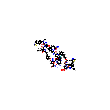 Cc1ncsc1-c1ccc([C@H](C)NC(=O)[C@@H]2C[C@@H](Oc3ccc4c5c3CC[C@H](N)C(=O)N5[C@H](C(=O)NC(CCC(N)=O)CN(C)c3cccc(CCCCOC(=O)N[C@H](C(=O)N5C[C@H](O)C[C@H]5C(=O)N[C@@H](C)c5ccc(-c6scnc6C)cc5)C(C)(C)C)c3F)C4)CN2C(=O)C(NC(=O)CCCc2cccc(OC[C@H](CCC(N)=O)NC(=O)[C@@H]3Cc4cccc5c4N3C(=O)[C@@H](N)CC5)c2Cl)C(C)(C)C)cc1